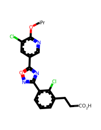 CC(C)Oc1ncc(-c2nc(-c3cccc(CCC(=O)O)c3Cl)no2)cc1Cl